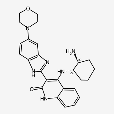 N[C@H]1CCCC[C@@H]1Nc1c(-c2nc3cc(N4CCOCC4)ccc3[nH]2)c(=O)[nH]c2ccccc12